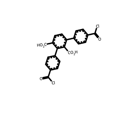 O=C(Cl)c1ccc(-c2ccc(C(=O)O)c(-c3ccc(C(=O)Cl)cc3)c2C(=O)O)cc1